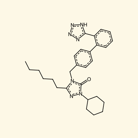 CCCCCCc1nn(C2CCCCC2)c(=O)n1Cc1ccc(-c2ccccc2-c2nnn[nH]2)cc1